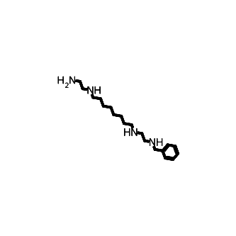 NCCNCCCCCCCCNCCNCc1ccccc1